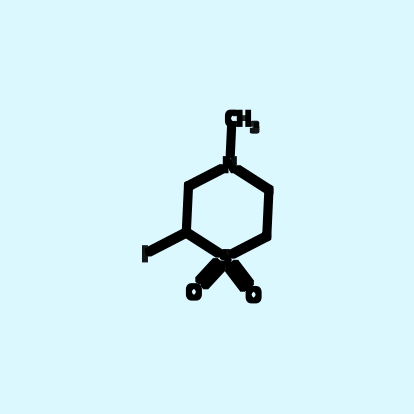 CN1CCS(=O)(=O)C(I)C1